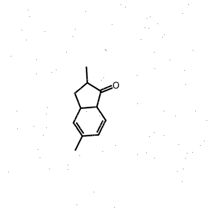 CC1=CC2CC(C)C(=O)C2C=C1